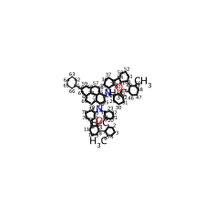 Cc1cccc(C)c1-c1cccc2c1oc1c(N(c3ccccc3)c3cc(N(c4ccccc4)c4cccc5c4oc4c(-c6c(C)cccc6C)cccc45)c4ccc5cc(C6CCCCC6)cc6ccc3c4c65)cccc12